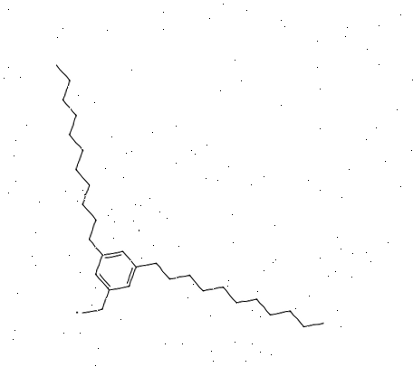 [CH2]Cc1cc(CCCCCCCCCCC)cc(CCCCCCCCCCC)c1